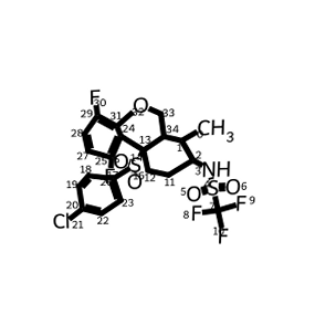 CC1C(NS(=O)(=O)C(F)(F)F)CCC2(S(=O)(=O)c3ccc(Cl)cc3)c3c(F)ccc(F)c3OCC12